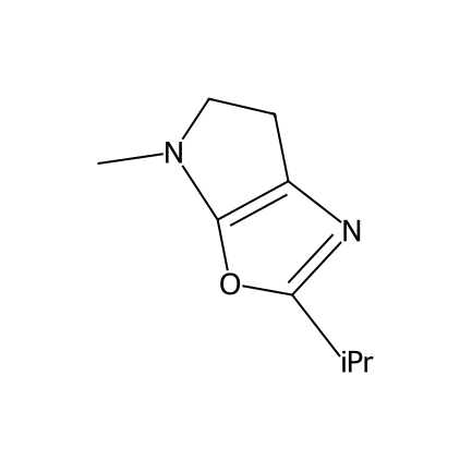 CC(C)c1nc2c(o1)N(C)CC2